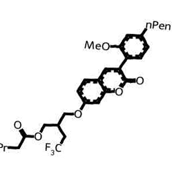 CCCCCc1ccc(-c2cc3ccc(OCC(COC(=O)CC(C)C)CC(F)(F)F)cc3oc2=O)c(OC)c1